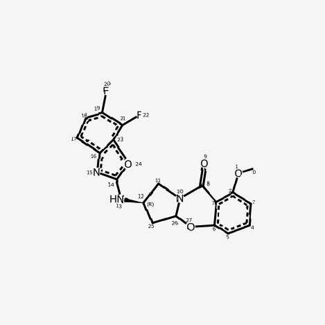 COc1cccc2c1C(=O)N1C[C@H](Nc3nc4ccc(F)c(F)c4o3)CC1O2